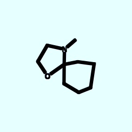 CN1CCOC12CCCCC2